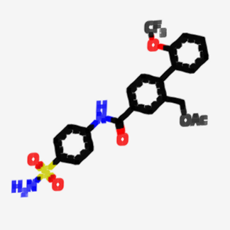 CC(=O)OCc1cc(C(=O)Nc2ccc(S(N)(=O)=O)cc2)ccc1-c1ccccc1OC(F)(F)F